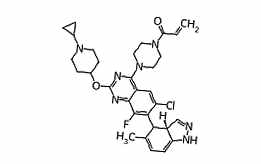 C=CC(=O)N1CCN(c2nc(OC3CCN(C4CC4)CC3)nc3c(F)c(C4C(C)=CC=C5NN=C[C@H]54)c(Cl)cc23)CC1